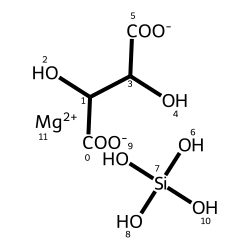 O=C([O-])C(O)C(O)C(=O)[O-].O[Si](O)(O)O.[Mg+2]